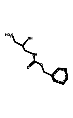 O=C(NCC(O)CS(=O)(=O)O)OCc1ccccc1